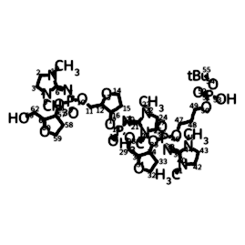 CN1CCN(C)C1=NP(=O)(OCC1OCCC1OP(=O)(N=C1N(C)CCN1C)OCC1OCCC1OP(=O)(N=C1N(C)CCN1C)OCCCOP(=O)(O)OC(C)(C)C)OC1CCOC1CO